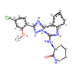 O=C1NCCCC[C@@H]1Nc1nc2ccccc2c2nc(-c3ccc(Cl)cc3OC(F)(F)F)nn12